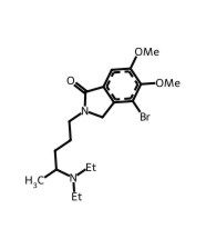 CCN(CC)C(C)CCCN1Cc2c(cc(OC)c(OC)c2Br)C1=O